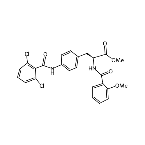 COC(=O)[C@H](Cc1ccc(NC(=O)c2c(Cl)cccc2Cl)cc1)NC(=O)c1ccccc1OC